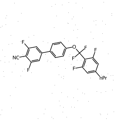 CCCc1cc(F)c(C(F)(F)Oc2ccc(-c3cc(F)c(C#N)c(F)c3)cc2)c(F)c1